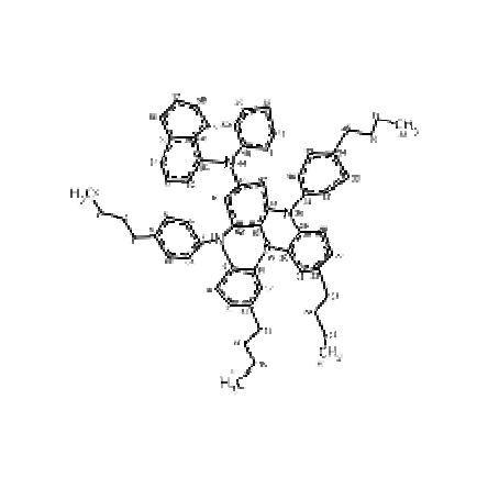 CCCCc1ccc(N2c3ccc(CCCC)cc3B3c4cc(CCCC)ccc4N(c4ccc(CCCC)cc4)c4cc(N(c5ccccc5)c5cccc6ccccc56)cc2c43)cc1